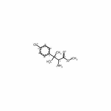 COC(=O)C(N)C(C)(C)c1ccc(Cl)cc1